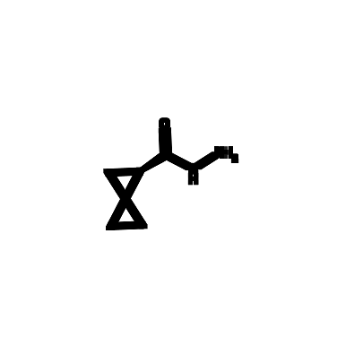 NNC(=O)[C@@H]1CC12CC2